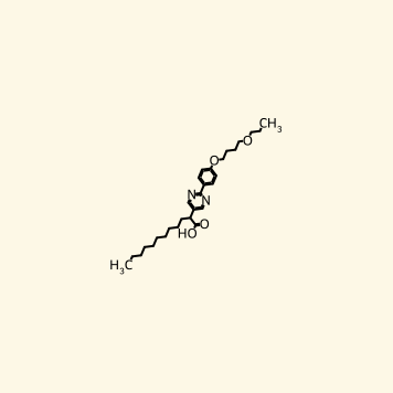 CCCCCCCCCCC(C(=O)O)c1cnc(-c2ccc(OCCCCOCCC)cc2)nc1